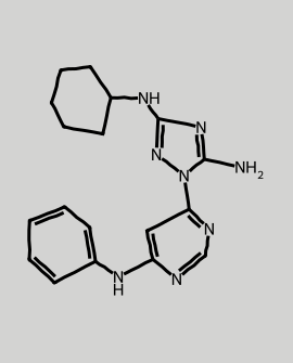 Nc1nc(NC2CCCCC2)nn1-c1cc(Nc2ccccc2)ncn1